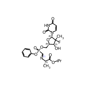 CC(C)OC(=O)[C@H](C)/N=C/P(=O)(OC[C@H]1O[C@@H](n2ccc(=O)[nH]c2=O)C(C)(F)[C@H]1O)Oc1ccccc1